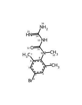 Cc1cc(Br)cc(C)c1N(C)C(=O)NC(=N)N